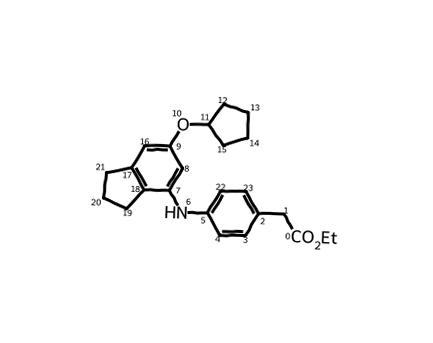 CCOC(=O)Cc1ccc(Nc2cc(OC3CCCC3)cc3c2CCC3)cc1